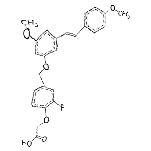 COc1ccc(C=Cc2cc(OC)cc(OCc3ccc(OCC(=O)O)c(F)c3)c2)cc1